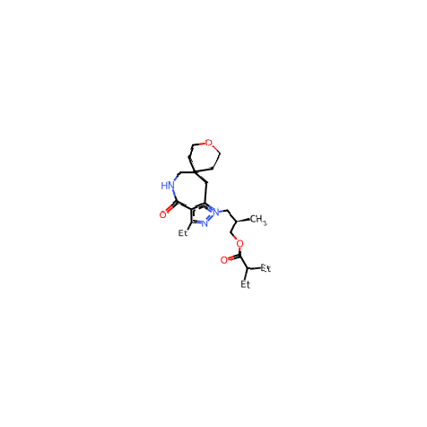 CCc1nn(C[C@@H](C)COC(=O)C(CC)CC)c2c1C(=O)NCC1(CCOCC1)C2